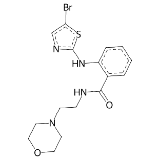 O=C(NCCN1CCOCC1)c1ccccc1Nc1ncc(Br)s1